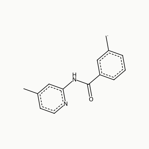 [CH2]c1cccc(C(=O)Nc2cc(C)ccn2)c1